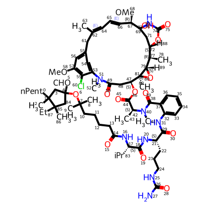 CCCCCC1(C)CC(C=O)(OC(C)(C)CCCCC(=O)N[C@H](C(=O)N[C@@H](CCCNC(N)=O)C(=O)Nc2ccccc2C(=O)N(C)[C@@H](C)C(=O)O[C@H]2CC(=O)N(C)c3cc(cc(OC)c3Cl)C/C(C)=C/C=C/[C@@H](OC)[C@@]3(O)C[C@H](OC(=O)N3)[C@@H](C)[C@@H]3O[C@@]23C)C(C)C)CC1(C)CC